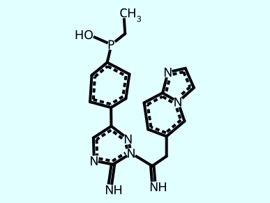 CCP(O)c1ccc(-c2cnc(=N)n(C(=N)Cc3ccc4nccn4c3)n2)cc1